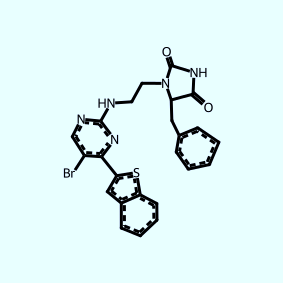 O=C1NC(=O)N(CCNc2ncc(Br)c(-c3cc4ccccc4s3)n2)C1Cc1ccccc1